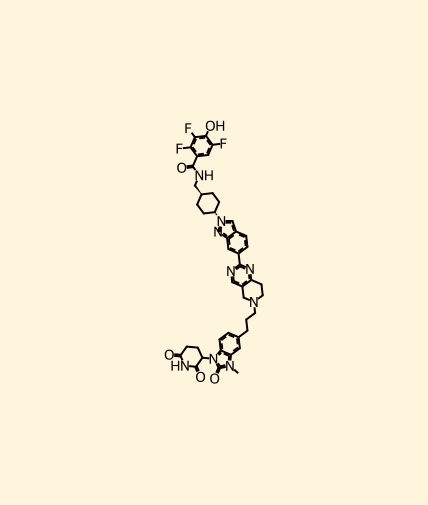 Cn1c(=O)n(C2CCC(=O)NC2=O)c2ccc(CCCN3CCc4nc(-c5ccc6cn([C@H]7CC[C@H](CNC(=O)c8cc(F)c(O)c(F)c8F)CC7)nc6c5)ncc4C3)cc21